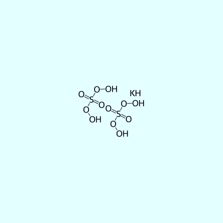 O=S(=O)(OO)OO.O=S(=O)(OO)OO.[KH]